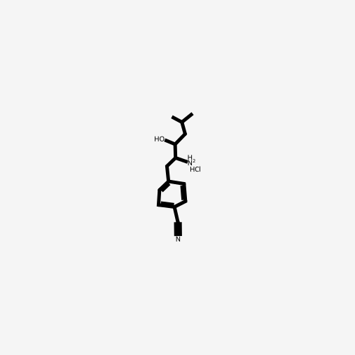 CC(C)CC(O)C(N)Cc1ccc(C#N)cc1.Cl